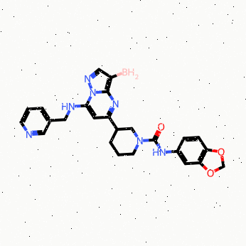 Bc1cnn2c(NCc3cccnc3)cc(C3CCCN(C(=O)Nc4ccc5c(c4)OCO5)C3)nc12